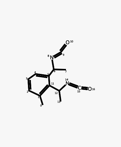 Cc1cccc(C(C)N=C=O)c1C(C)N=C=O